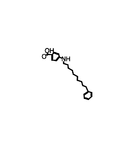 O=C(O)c1ccc(NCCCCCCCCCCc2ccccc2)cc1